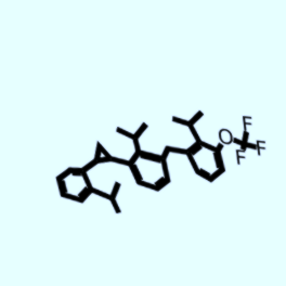 CC(C)c1ccccc1C1CC1c1cccc(Cc2cccc(OC(F)(F)F)c2C(C)C)c1C(C)C